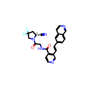 N#C[C@@H]1CC(F)(F)CN1C(=O)CNC(=O)c1ccncc1/C=C/c1ccc2cnccc2c1